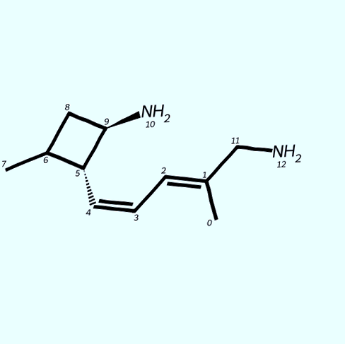 C/C(=C\C=C/[C@@H]1C(C)C[C@H]1N)CN